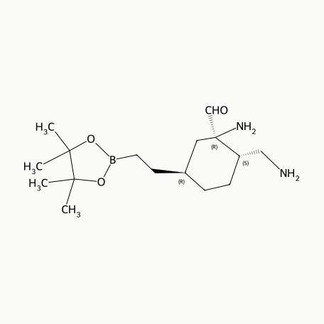 CC1(C)OB(CC[C@@H]2CC[C@@H](CN)[C@@](N)(C=O)C2)OC1(C)C